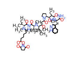 CC[C@H](C)[C@@H]([C@@H](CC(=O)N1CCC[C@H]1[C@H](OC)[C@@H](C)C(=O)N[C@@H](Cc1c[nH]c2ccccc12)C(N)=O)OC)N(C)[C@H](C(=O)NC(=O)[C@H](C(C)C)N(C)CCCCCC(=O)ON1C(=O)CCC1=O)C(C)C